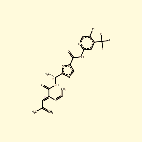 C=C(C)/C=C(\N=C/C)C(=O)N[C@H](C)c1ncc(C(=O)Nc2cc(C(F)(F)F)c(Cl)cn2)s1